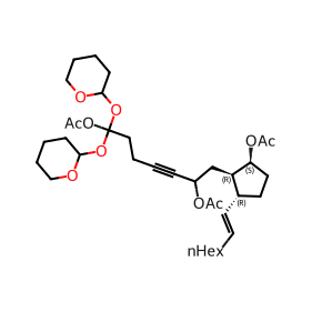 CCCCCCC=C[C@H]1CC[C@H](OC(C)=O)[C@@H]1CC(C#CCCC(OC(C)=O)(OC1CCCCO1)OC1CCCCO1)OC(C)=O